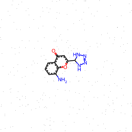 Nc1cccc2c(=O)cc(C3NN=NN3)oc12